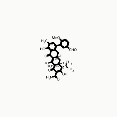 COc1ccc(C=O)cc1-c1cc(C)c(O)c2c1C[C@H]1C[C@H]3[C@H](N(C)C)C(O)=C(C(N)=O)C(=O)[C@@]3(O)C(O)=C1C2=O